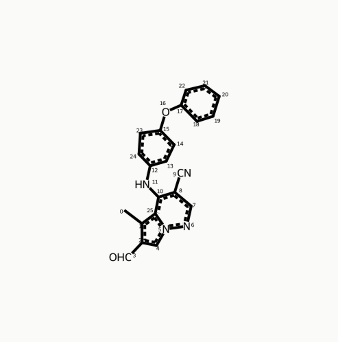 Cc1c(C=O)cn2ncc(C#N)c(Nc3ccc(Oc4ccccc4)cc3)c12